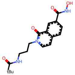 CC(C)(C)C(=O)NCCCn1ccc2ccc(C(=O)NO)cc2c1=O